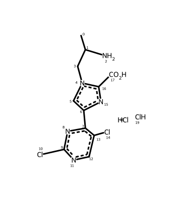 CC(N)Cn1cc(-c2nc(Cl)ncc2Cl)nc1C(=O)O.Cl.Cl